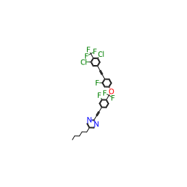 CCCCCc1cnc(C#Cc2ccc(C(F)(F)Oc3ccc(C#Cc4cc(Cl)c(C(F)(F)F)c(Cl)c4)c(F)c3)c(F)c2)nc1